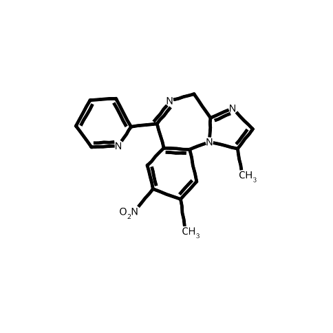 Cc1cc2c(cc1[N+](=O)[O-])C(c1ccccn1)=NCc1ncc(C)n1-2